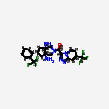 N[C@@]12C[C@H](c3ccccc3C(F)(F)F)C[C@]1(N)CN(C(=O)c1nnc3cc(C(F)(F)F)ccn13)C2